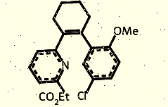 CCOC(=O)c1cccc(C2=C(c3cc(Cl)ccc3OC)CCCC2)n1